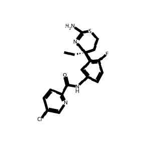 CC[C@@]1(c2cc(NC(=O)c3ccc(Cl)cn3)ccc2F)CCSC(N)=N1